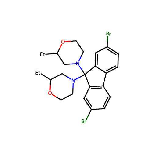 CCC1CN(C2(N3CCOC(CC)C3)c3cc(Br)ccc3-c3ccc(Br)cc32)CCO1